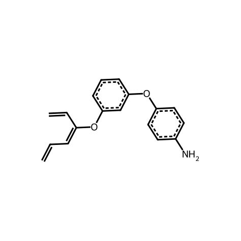 C=C/C=C(\C=C)Oc1cccc(Oc2ccc(N)cc2)c1